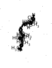 Cc1ncsc1-c1ccc([C@H](C)NC(=O)[C@@H]2C[C@@H](O)CN2C(=O)[C@@H](NC(=O)CN2CCN(CCCc3ccc(C(=O)NC4C(C)(C)C(Oc5ccc(C#N)c(Cl)c5)C4(C)C)cn3)CC2)C(C)(C)C)cc1